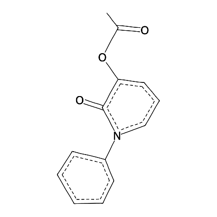 CC(=O)Oc1cccn(-c2ccccc2)c1=O